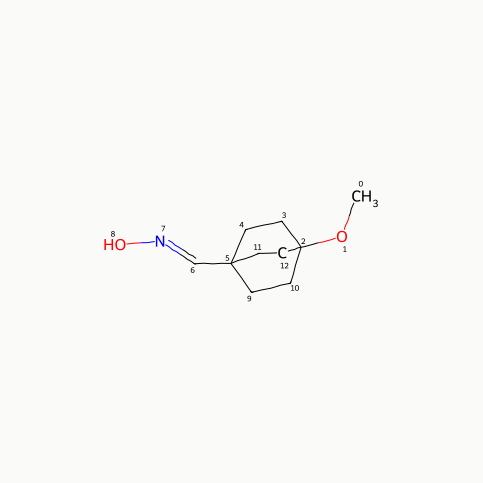 COC12CCC(/C=N/O)(CC1)CC2